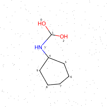 OC(O)NC1CCCCC1